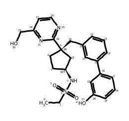 CCS(=O)(=O)N[C@H]1CC[C@](Cc2cccc(-c3cccc(O)c3)c2)(c2nccc(CO)n2)C1